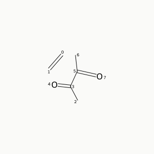 C=C.CC(=O)C(C)=O